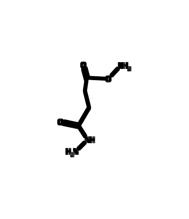 NNC(=O)CCC(=O)ON